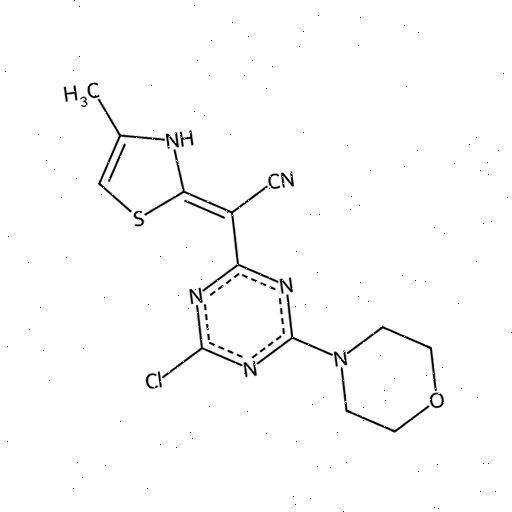 CC1=CSC(=C(C#N)c2nc(Cl)nc(N3CCOCC3)n2)N1